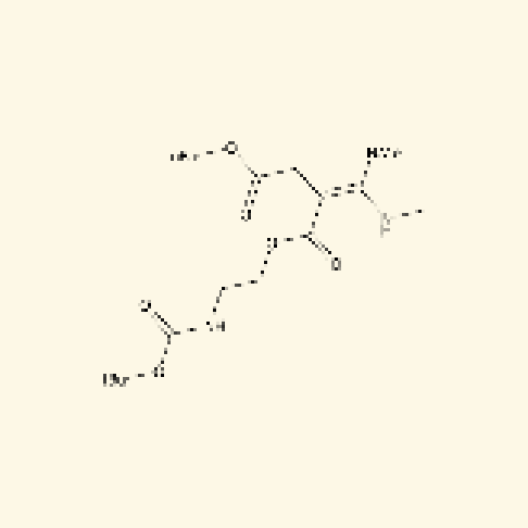 CCCCOC(=O)C/C(C(=O)OCCNC(=O)OC(C)(C)C)=C(\NC)NI